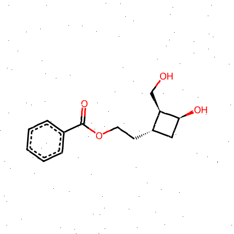 O=C(OCC[C@H]1C[C@H](O)[C@@H]1CO)c1ccccc1